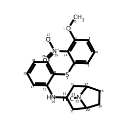 COc1cccc(Sc2ccccc2NC2CC3CCC(C2)N3C)c1[N+](=O)[O-]